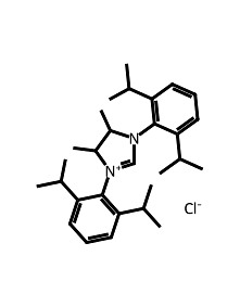 CC(C)c1cccc(C(C)C)c1N1C=[N+](c2c(C(C)C)cccc2C(C)C)C(C)C1C.[Cl-]